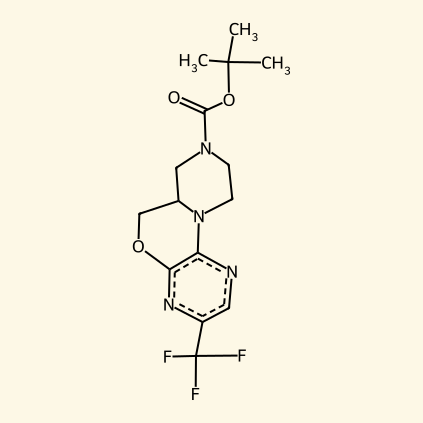 CC(C)(C)OC(=O)N1CCN2c3ncc(C(F)(F)F)nc3OCC2C1